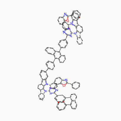 c1ccc(-c2nc3cccc(-c4nc(-c5ccc(-c6c7ccccc7c(-c7ccc(-c8ccc9c%10ccc%11c%12ccccc%12n(-c%12nc(-c%13cccc(-c%14cccc%15cccc(-c%16ccccc%16)c%14%15)c%13)nc(-c%13cccc%14nc(-c%15ccccc%15)oc%13%14)n%12)c%11c%10n(-c%10ccccc%10)c9c8)cc7)c7ccccc67)cc5)nc(-n5c6ccccc6c6ccc7c8ccccc8n(-c8ccccc8)c7c65)n4)c3o2)cc1